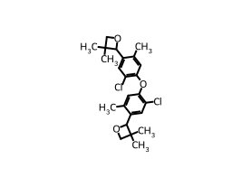 Cc1cc(Oc2cc(C)c(C3OCC3(C)C)cc2Cl)c(Cl)cc1C1OCC1(C)C